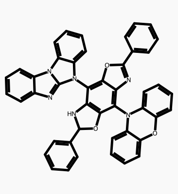 c1ccc(-c2nc3c(N4c5ccccc5Oc5ccccc54)c4c(c(-n5c6ccccc6n6c7ccccc7nc56)c3o2)NC(c2ccccc2)O4)cc1